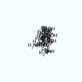 C[C@H](NC(=O)CNC(=O)[C@H](CS)NC(=O)[C@H](CO)NC(=O)[C@H](CO)NC(=O)[C@H](C)NC(=O)[C@H](CS)NC(=O)[C@@H](N)CCCNC(=N)N)C(=O)N[C@@H](CCCCN)C(=O)O